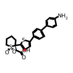 Nc1ccc(-c2ccc(-c3ccc([C@@]4(CC(=O)O)CCCCS4(=O)=O)s3)cc2)cc1